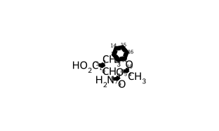 C=C(C)C(=O)O.CC(OC(N)=O)Oc1ccccc1